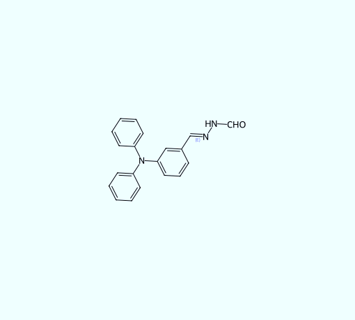 O=CN/N=C/c1cccc(N(c2ccccc2)c2ccccc2)c1